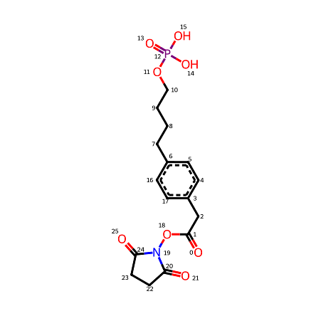 O=C(Cc1ccc(CCCCOP(=O)(O)O)cc1)ON1C(=O)CCC1=O